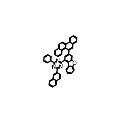 c1ccc(-c2nc(-c3ccc4ccccc4c3)nc(-c3cc(-c4cc5ccccc5c5ccc6ccccc6c45)cc4oc5ccccc5c34)n2)cc1